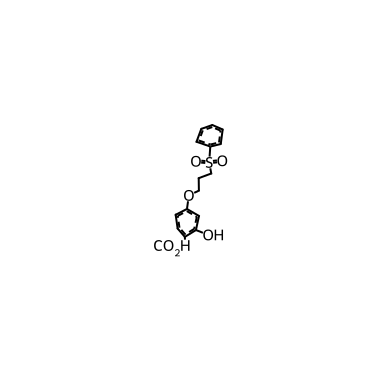 O=C(O)c1ccc(OCCCS(=O)(=O)c2ccccc2)cc1O